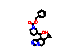 O=C(OCc1ccccc1)N1CCCC(C(O)C2=C(C3CC3)CCn3cncc32)C1